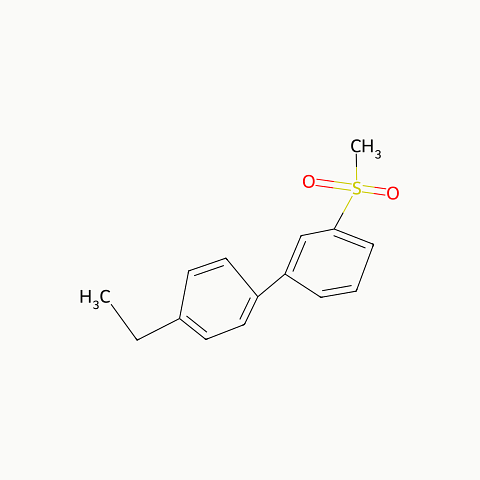 CCc1ccc(-c2cccc(S(C)(=O)=O)c2)cc1